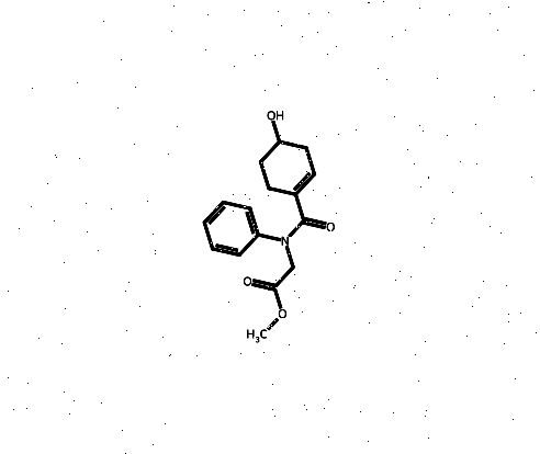 COC(=O)CN(C(=O)C1=CCC(O)CC1)c1ccccc1